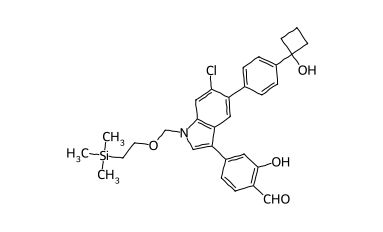 C[Si](C)(C)CCOCn1cc(-c2ccc(C=O)c(O)c2)c2cc(-c3ccc(C4(O)CCC4)cc3)c(Cl)cc21